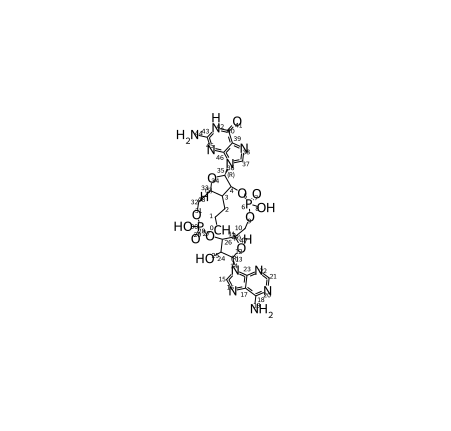 CCCC1C2OP(=O)(O)OC[C@H]3O[C@@H](n4cnc5c(N)ncnc54)C(O)C3OP(=O)(O)OC[C@H]1O[C@H]2n1cnc2c(=O)[nH]c(N)nc21